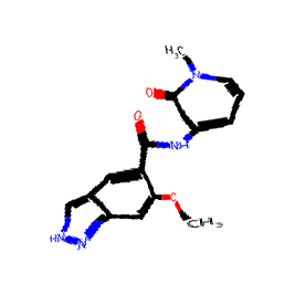 COc1cc2n[nH]cc2cc1C(=O)Nc1cccn(C)c1=O